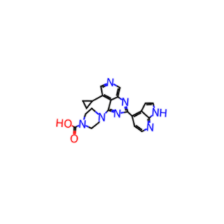 O=C(O)N1CCN(c2nc(-c3ccnc4[nH]ccc34)nc3cncc(C4CC4)c23)CC1